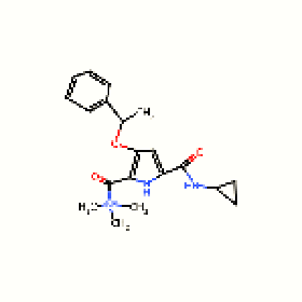 CC(Oc1cc(C(=O)NC2CC2)[nH]c1C(=O)[N+](C)(C)C)c1ccccc1